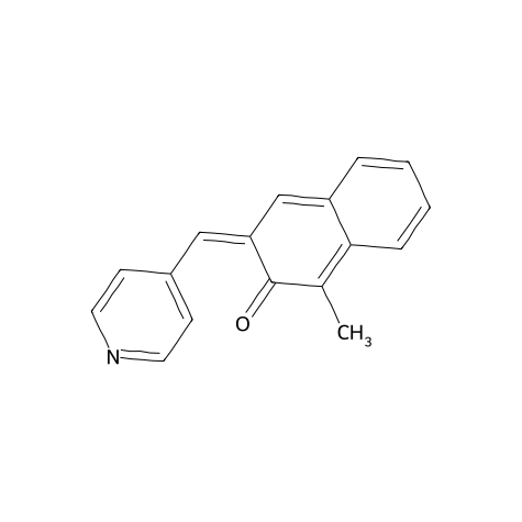 CC1=c2ccccc2=C/C(=C/c2ccncc2)C1=O